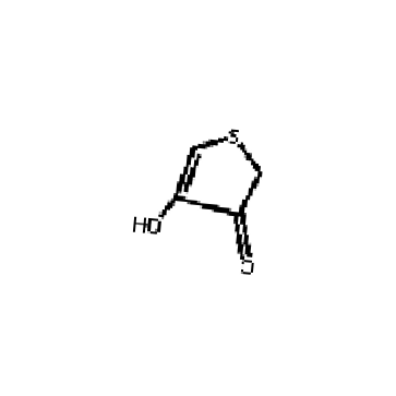 O=C1CSC=C1O